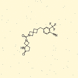 N#Cc1ccc(CC2CC3(C2)CN(C(=O)N2CC4(CCC(=O)N4)C2)C3)cc1C(F)(F)F